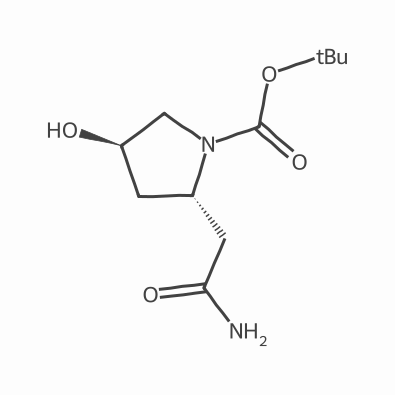 CC(C)(C)OC(=O)N1C[C@H](O)C[C@H]1CC(N)=O